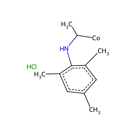 Cc1cc(C)c(N[CH](C)[Co])c(C)c1.Cl